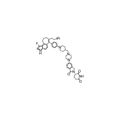 CC(C)CCC1=C(c2ccc(N3CCC(CN4CCN(c5ccc6c(c5)CN([C@H]5CCC(=O)NC5=O)C6=O)CC4)CC3)cc2)c2ccc3[nH]nc(F)c3c2CCC1